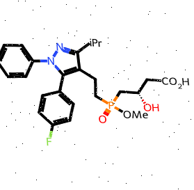 COP(=O)(CCc1c(C(C)C)nn(-c2ccccc2)c1-c1ccc(F)cc1)C[C@@H](O)CC(=O)O